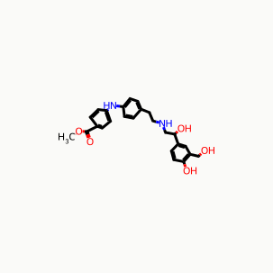 COC(=O)c1ccc(Nc2ccc(CCNCC(O)c3ccc(O)c(CO)c3)cc2)cc1